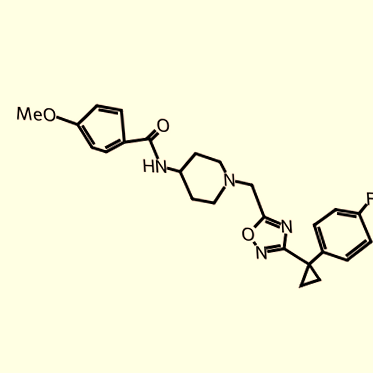 COc1ccc(C(=O)NC2CCN(Cc3nc(C4(c5ccc(F)cc5)CC4)no3)CC2)cc1